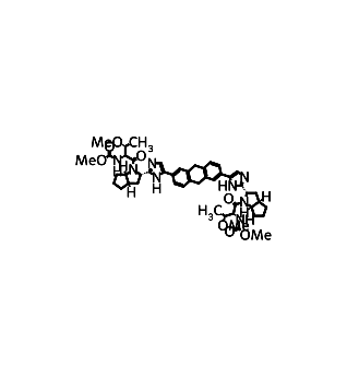 COC(=O)N[C@H](C(=O)N1[C@H](c2ncc(-c3ccc4c(c3)Cc3ccc(-c5cnc([C@@H]6C[C@H]7CCC[C@H]7N6C(=O)[C@H](NC(=O)OC)[C@H](C)OC)[nH]5)cc3C4)[nH]2)C[C@@H]2CCC[C@@H]21)[C@@H](C)OC